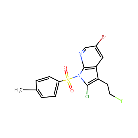 Cc1ccc(S(=O)(=O)n2c(Cl)c(CCF)c3cc(Br)cnc32)cc1